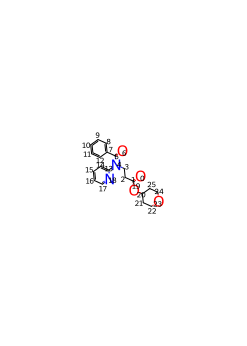 O=C(CCN(C(=O)C1=CC=C=C=C1)c1ccccn1)OC1CCOCC1